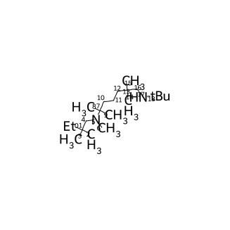 CCC(C)(C)CN(C)C(C)(C)CCCC(C)(C)CNC(C)(C)C